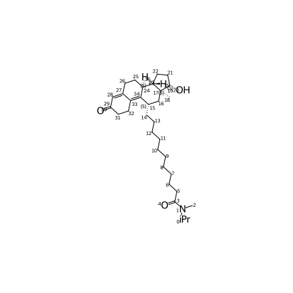 CC(C)N(C)C(=O)CCCCCCCCCC[C@H]1C[C@]2(C)[C@@H](O)CC[C@H]2[C@@H]2CCC3=CC(=O)CCC3=C12